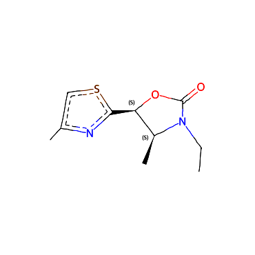 CCN1C(=O)O[C@H](c2nc(C)cs2)[C@@H]1C